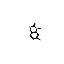 CN1C(=O)NCc2ccc(F)cc21